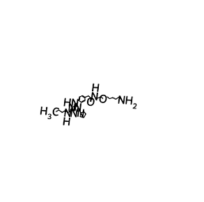 CCCCNc1nc(Nc2ccc(CC(=O)NCCOCCCCCN)cc2)nc(N2CCCC2)n1